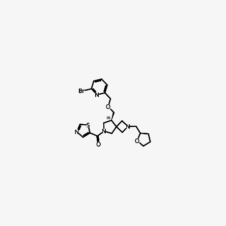 O=C(c1cncs1)N1C[C@@H](COCc2cccc(Br)n2)C2(CN(CC3CCCO3)C2)C1